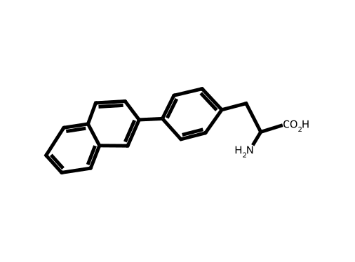 NC(Cc1ccc(-c2ccc3ccccc3c2)cc1)C(=O)O